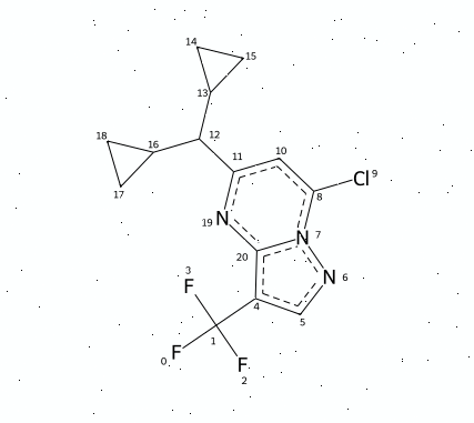 FC(F)(F)c1cnn2c(Cl)cc(C(C3CC3)C3CC3)nc12